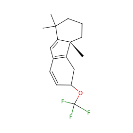 CC1(C)CCC[C@@]2(C)C1=CC1=C2CC(OC(F)(F)F)C=C1